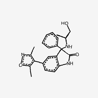 Cc1noc(C)c1-c1ccc2c(c1)C(NC(C)CO)(c1ccccc1)C(=O)N2